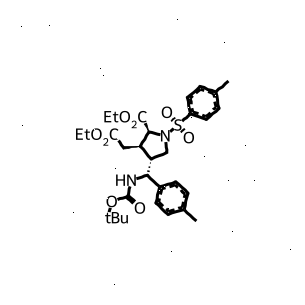 CCOC(=O)C[C@@H]1[C@@H](C(NC(=O)OC(C)(C)C)c2ccc(C)cc2)CN(S(=O)(=O)c2ccc(C)cc2)[C@@H]1C(=O)OCC